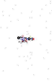 CC(C)(C)OC(=O)NC(Cc1ccccc1)C(=O)NC[C@H]1CN(c2ccc(N3CCOCC3)c(F)c2)C(=O)O1